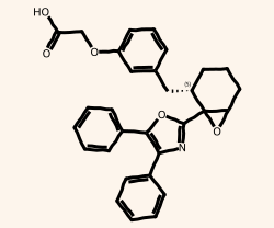 O=C(O)COc1cccc(C[C@@H]2CCCC3OC32c2nc(-c3ccccc3)c(-c3ccccc3)o2)c1